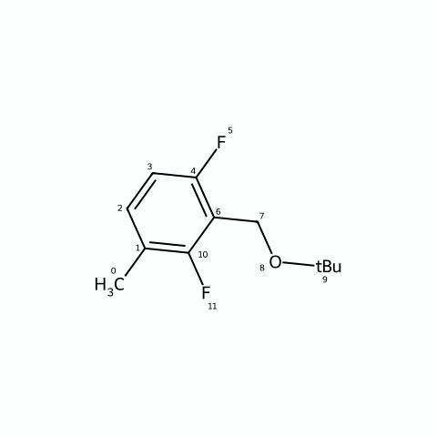 Cc1ccc(F)c(COC(C)(C)C)c1F